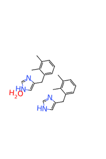 Cc1cccc(Cc2c[nH]cn2)c1C.Cc1cccc(Cc2c[nH]cn2)c1C.O